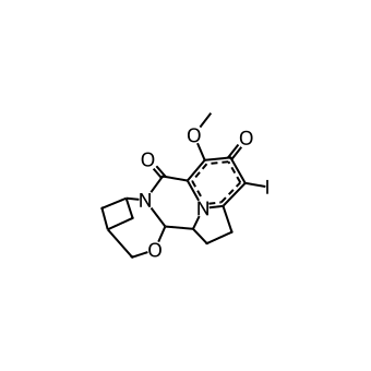 COc1c2n3c(c(I)c1=O)CCC3C1OCC3CC(C3)N1C2=O